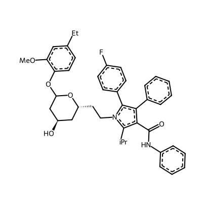 CCc1ccc(OC2C[C@H](O)C[C@@H](CCn3c(-c4ccc(F)cc4)c(-c4ccccc4)c(C(=O)Nc4ccccc4)c3C(C)C)O2)c(OC)c1